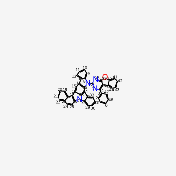 c1ccc(-c2nc(-n3c4ccccc4c4cc5c6c7ccccc7ccc6n6c7ccccc7c(c43)c56)nc3oc4ccccc4c23)cc1